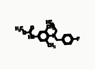 C#CCN(Cc1ccc(F)cc1)c1c(C)cc(NC(=O)OC)cc1C